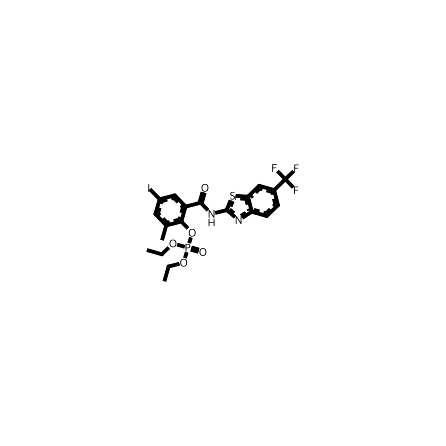 CCOP(=O)(OCC)Oc1c(C)cc(I)cc1C(=O)Nc1nc2ccc(C(F)(F)F)cc2s1